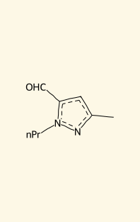 CCCn1nc(C)cc1C=O